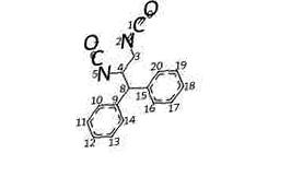 O=C=NCC(N=C=O)C(c1ccccc1)c1ccccc1